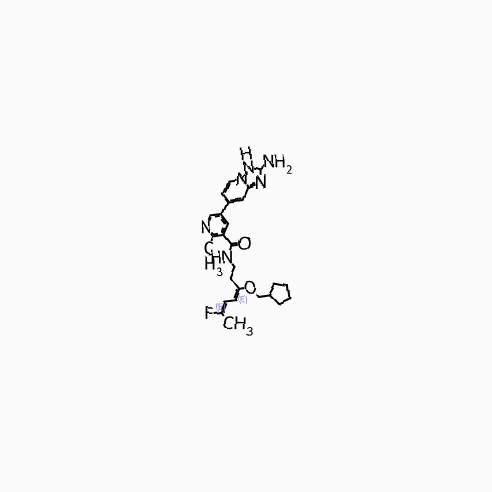 C/C(F)=C\C=C(/CCNC(=O)c1cc(C2=CC3=NC(N)NN3C=C2)cnc1C)OCC1CCCC1